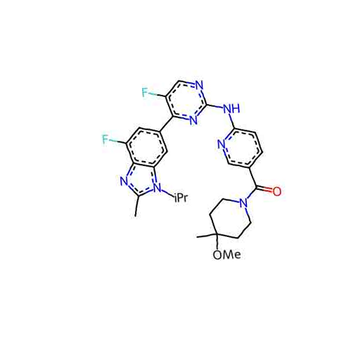 COC1(C)CCN(C(=O)c2ccc(Nc3ncc(F)c(-c4cc(F)c5nc(C)n(C(C)C)c5c4)n3)nc2)CC1